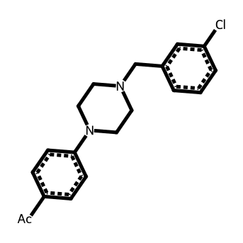 CC(=O)c1ccc(N2CCN(Cc3cccc(Cl)c3)CC2)cc1